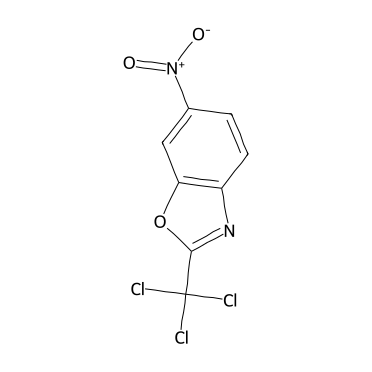 O=[N+]([O-])c1ccc2nc(C(Cl)(Cl)Cl)oc2c1